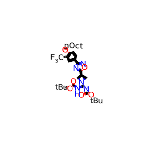 CCCCCCCCOc1ccc(-c2noc(C3CN(/C(=N/C(=O)OC(C)(C)C)NC(=O)OC(C)(C)C)C3)n2)cc1C(F)(F)F